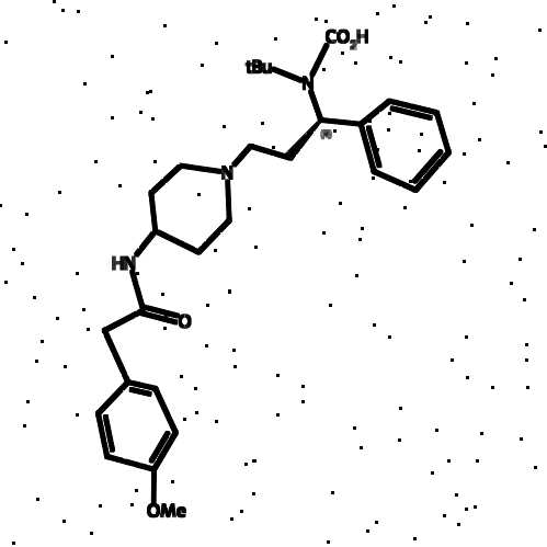 COc1ccc(CC(=O)NC2CCN(CC[C@H](c3ccccc3)N(C(=O)O)C(C)(C)C)CC2)cc1